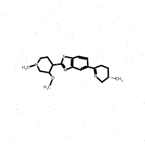 COC1CN(C)CCC1c1nc2cc(C3=NC[C@@H](C)CC3)ccc2s1